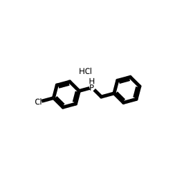 Cl.Clc1ccc(PCc2ccccc2)cc1